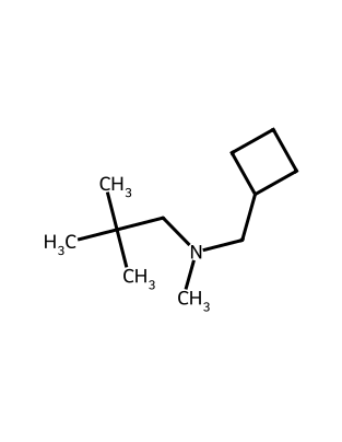 CN(CC1CCC1)CC(C)(C)C